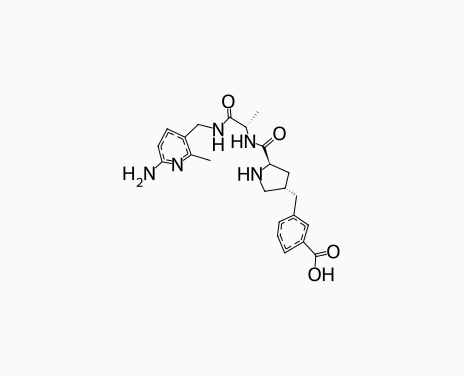 Cc1nc(N)ccc1CNC(=O)[C@H](C)NC(=O)[C@H]1C[C@H](Cc2cccc(C(=O)O)c2)CN1